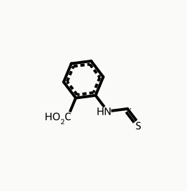 O=C(O)c1ccccc1N[C]=S